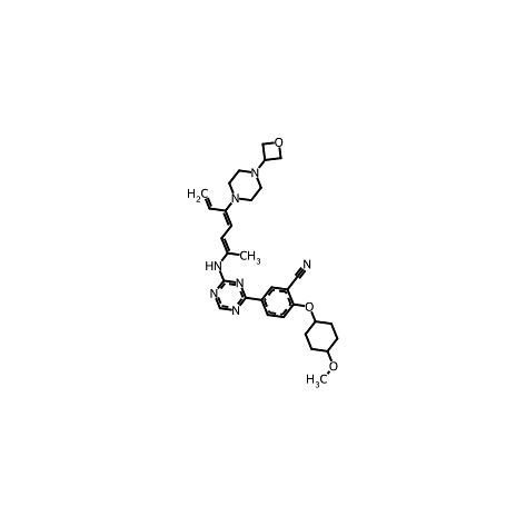 C=C/C(=C\C=C(/C)Nc1ncnc(-c2ccc(OC3CCC(OC)CC3)c(C#N)c2)n1)N1CCN(C2COC2)CC1